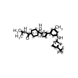 Cc1cc(Nc2nccc(C(F)(F)F)n2)cc(-c2cnc(C3(O)CCC(C(=O)NC(C)C)CC3)s2)c1